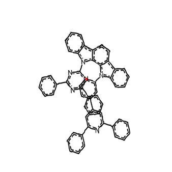 c1ccc(-c2cc(-c3cccc(-n4c5ccccc5c5ccc6c7ccccc7n(-c7nc(-c8ccccc8)nc(-c8ccccc8)n7)c6c54)c3)cc(-c3ccccc3)n2)cc1